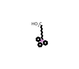 O=C(O)CCCCCCCCC[P+](c1ccccc1)(c1ccccc1)c1ccccc1